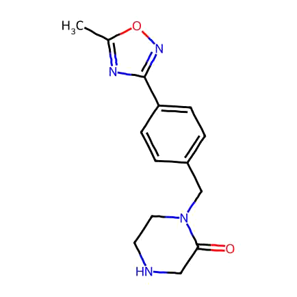 Cc1nc(-c2ccc(CN3CCNCC3=O)cc2)no1